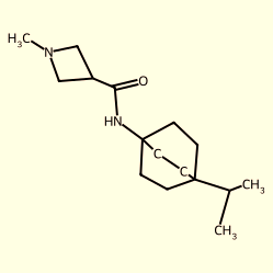 CC(C)C12CCC(NC(=O)C3CN(C)C3)(CC1)CC2